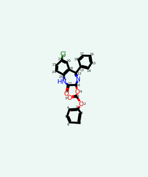 O=C(Oc1ccccc1)OC1N=C(c2ccccc2)c2cc(Cl)ccc2NC1=O